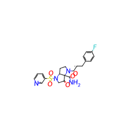 NC(=O)C12C(=O)CN(S(=O)(=O)c3cccnc3)C1CCN2C(=O)[CH]Cc1ccc(F)cc1